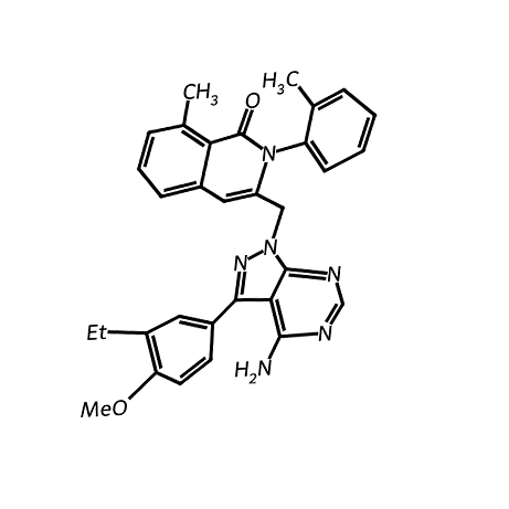 CCc1cc(-c2nn(Cc3cc4cccc(C)c4c(=O)n3-c3ccccc3C)c3ncnc(N)c23)ccc1OC